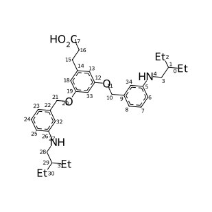 CCC(CC)CNc1cccc(COc2cc(CCC(=O)O)cc(OCc3cccc(NCC(CC)CC)c3)c2)c1